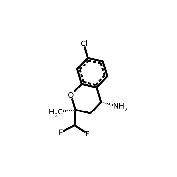 C[C@@]1(C(F)F)C[C@@H](N)c2ccc(Cl)cc2O1